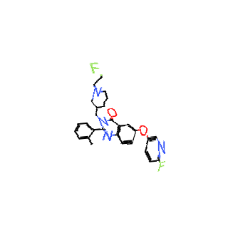 Cc1ccccc1-c1nc2ccc(Oc3ccc(F)nc3)cc2c(=O)n1CC1CCCN(CCF)C1